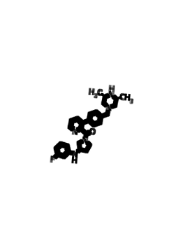 C[C@@H]1CN(Cc2ccc(-c3cccnc3C(=O)N3CCC(Nc4cccc(F)c4)C3)cc2)C[C@H](C)N1